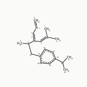 C=N/C=C(\C=C(C)C)C(C)Cc1ccc(C(C)C)cn1